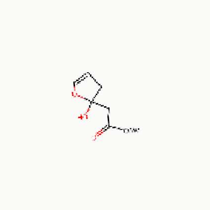 COC(=O)CC1(O)CC=CO1